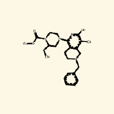 CC(C)(C)OC(=O)N1CCN(c2nc(O)c(C#N)c3c2CCN(Cc2ccccc2)C3)CC1CC#N